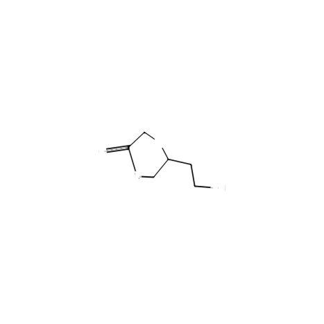 O=C1COC(CCO)CN1